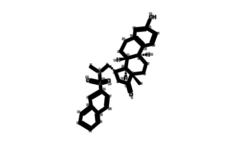 CN(C[C@H]1CC(=O)[C@@]2(C)CC[C@@H]3c4ccc(O)cc4CC[C@H]3[C@H]12)S(=O)(=O)c1ccc2ccccc2c1